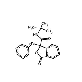 CC(C)(C)NC(=O)C1(Nc2ccccc2)OC(=O)c2ccccc21